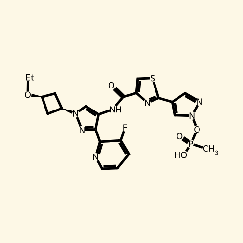 CCO[C@H]1C[C@@H](n2cc(NC(=O)c3csc(-c4cnn(OP(C)(=O)O)c4)n3)c(-c3ncccc3F)n2)C1